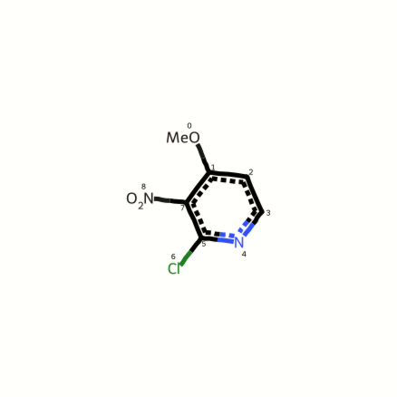 COc1ccnc(Cl)c1[N+](=O)[O-]